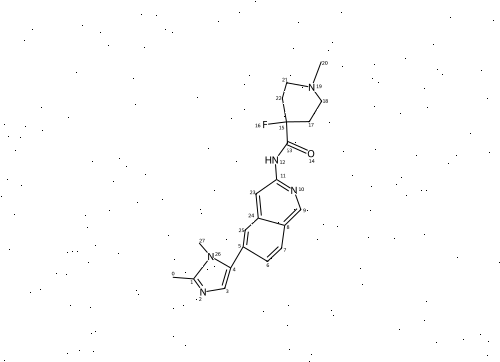 Cc1ncc(-c2ccc3cnc(NC(=O)C4(F)CCN(C)CC4)cc3c2)n1C